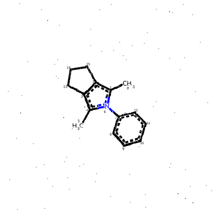 Cc1c2c(c(C)n1-c1ccccc1)CCC2